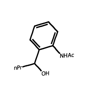 CCCC(O)c1ccccc1NC(C)=O